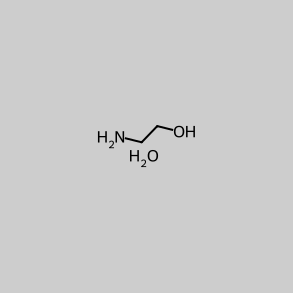 NCCO.O